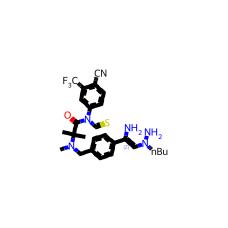 CCCCN(N)/C=C(\N)c1ccc(CN(C)C(C)(C)C(=O)N(C=S)c2ccc(C#N)c(C(F)(F)F)c2)cc1